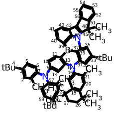 Cc1cc(C(C)(C)C)ccc1N(c1ccc2c(c1)N(c1cc3c(cc1C)C(C)(C)CCC3(C)C)c1cc(C(C)(C)C)cc3c1B2c1cccc2c4c(n-3c12)C(C)(C)c1ccccc1-4)c1ccc(C(C)(C)C)cc1C